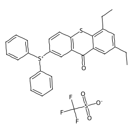 CCc1cc(CC)c2sc3ccc([S+](c4ccccc4)c4ccccc4)cc3c(=O)c2c1.O=S(=O)([O-])C(F)(F)F